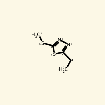 [CH2]Cc1nnc(SC)s1